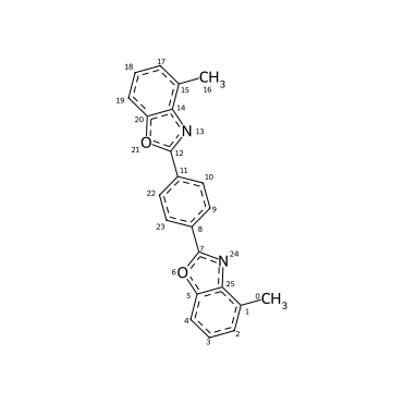 Cc1cccc2oc(-c3ccc(-c4nc5c(C)cccc5o4)cc3)nc12